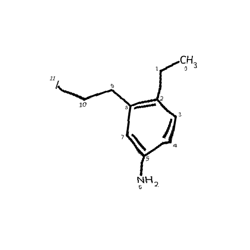 CCc1ccc(N)cc1CCI